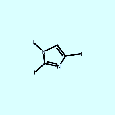 Ic1cn(I)c(I)n1